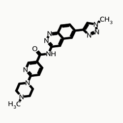 CN1CCN(c2ccc(C(=O)Nc3cc4cc(-c5cn(C)nn5)ccc4nn3)cn2)CC1